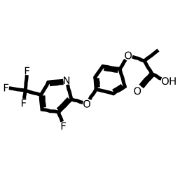 CC(Oc1ccc(Oc2ncc(C(F)(F)F)cc2F)cc1)C(=O)O